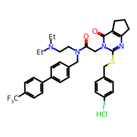 CCN(CC)CCN(Cc1ccc(-c2ccc(C(F)(F)F)cc2)cc1)C(=O)Cn1c(SCc2ccc(F)cc2)nc2c(c1=O)CCC2.Cl